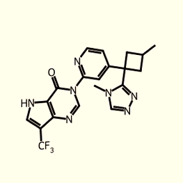 CC1CC(c2ccnc(-n3cnc4c(C(F)(F)F)c[nH]c4c3=O)c2)(c2nncn2C)C1